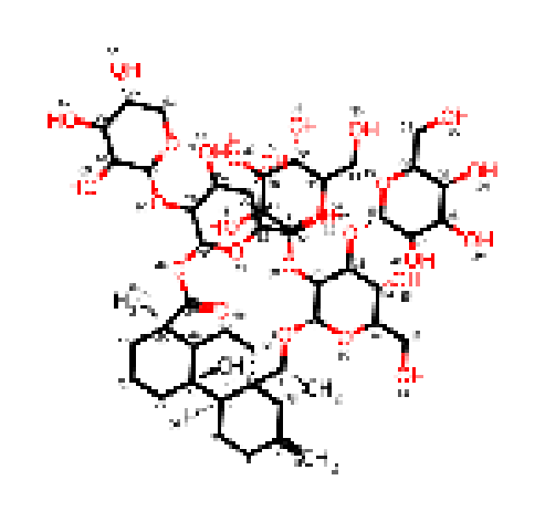 C=C1CC[C@@H]2[C@]([C@@H](C)O[C@@H]3OC(CO)[C@@H](O)C(O[C@@H]4OC(CO)[C@@H](O)C(O)C4O)C3O[C@@H]3OC(CO)[C@@H](O)C(O)C3O)(CCC3[C@](C)(C(=O)O[C@@H]4OC(CO)[C@@H](O)C(O)C4O[C@@H]4OC[C@@H](O)C(O)C4O)CCC[C@]32C)C1